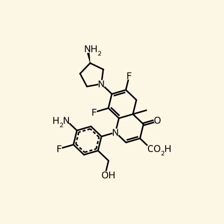 CC12CC(F)=C(N3CC[C@@H](N)C3)C(F)=C1N(c1cc(N)c(F)cc1CO)C=C(C(=O)O)C2=O